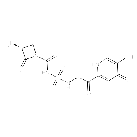 N[C@H]1CN(C(=O)NS(=O)(=O)NNC(=O)c2cc(=O)c(O)c[nH]2)C1=O